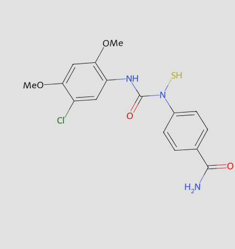 COc1cc(OC)c(NC(=O)N(S)c2ccc(C(N)=O)cc2)cc1Cl